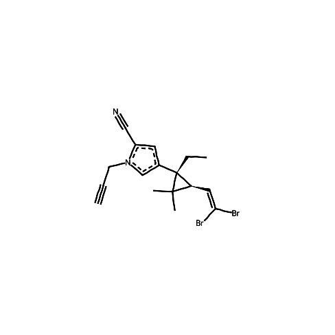 C#CCn1cc([C@]2(CC)[C@@H](C=C(Br)Br)C2(C)C)cc1C#N